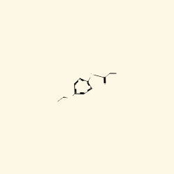 CCOc1ccc(NC(=S)CC)cc1